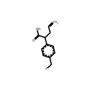 C=CCC(C(=O)O)c1ccc(CF)cc1